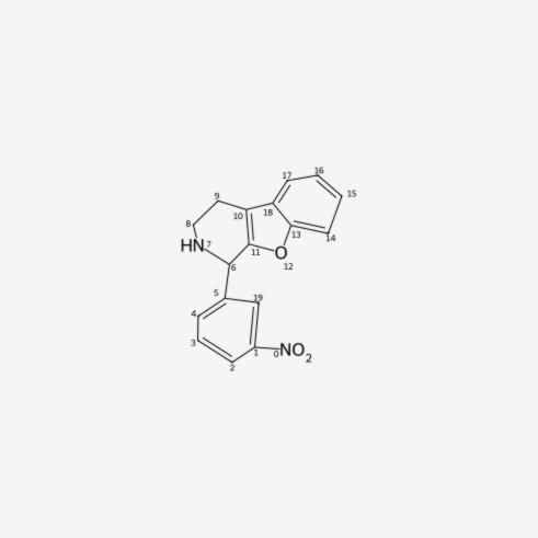 O=[N+]([O-])c1cccc(C2NCCc3c2oc2ccccc32)c1